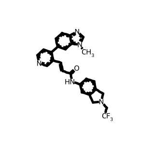 Cn1cnc2ccc(-c3ccncc3C=CC(=O)Nc3ccc4c(c3)CN(CC(F)(F)F)C4)cc21